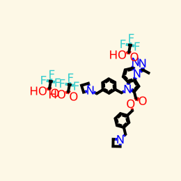 Cc1nnc2ccc3c(cc(C(=O)OCc4cccc(CN5CCC5)c4)n3Cc3cccc(CN4CCC4)c3)n12.O=C(O)C(F)(F)F.O=C(O)C(F)(F)F.O=C(O)C(F)(F)F